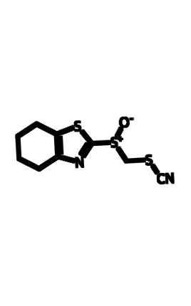 N#CSC[S+]([O-])c1nc2c(s1)CCCC2